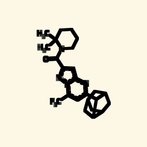 CC1(C)CCCCN1C(=O)c1cc2nc(C3C4CC5CC(C4)C3C5)cc(C(F)(F)F)n2n1